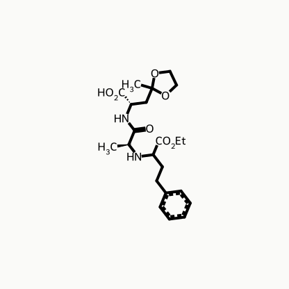 CCOC(=O)C(CCc1ccccc1)N[C@@H](C)C(=O)N[C@@H](CC1(C)OCCO1)C(=O)O